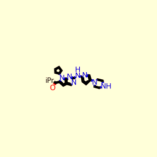 CC(C)C(=O)c1cc2cnc(Nc3ccc(N4CCNCC4)cn3)nc2n1C1CCCC1